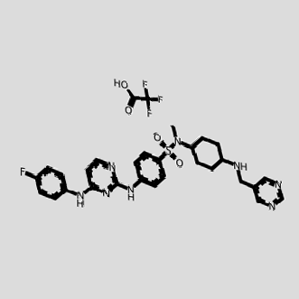 CN(C1CCC(NCc2cncnc2)CC1)S(=O)(=O)c1ccc(Nc2nccc(Nc3ccc(F)cc3)n2)cc1.O=C(O)C(F)(F)F